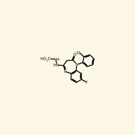 O=C(O)NNC1=Nc2ccc(F)cc2N(c2ccccc2Cl)C(=O)C1